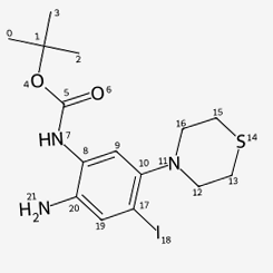 CC(C)(C)OC(=O)Nc1cc(N2CCSCC2)c(I)cc1N